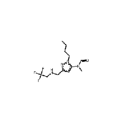 CCCCn1nc(CNCC(F)(F)F)cc1N(C)C=O